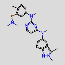 Cc1ccc(N(C)c2nccc(N(C)c3ccc4nn(C)c(C)c4c3)n2)cc1SN(C)C